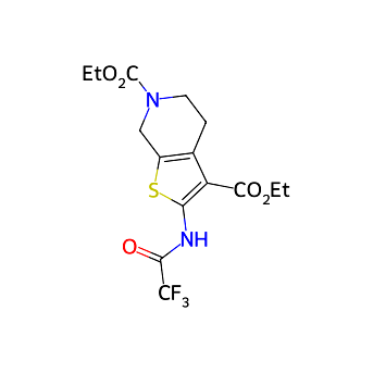 CCOC(=O)c1c(NC(=O)C(F)(F)F)sc2c1CCN(C(=O)OCC)C2